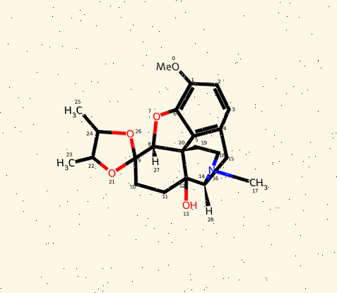 COc1ccc2c3c1O[C@H]1C4(CCC5(O)[C@@H](C2)N(C)CC[C@]315)OC(C)C(C)O4